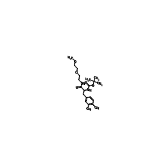 COCCOCCNC(=O)C(Cc1ccc(O)c(O)c1)NC(=O)OC(C)(C)C